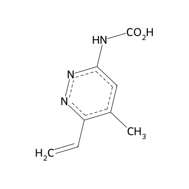 C=Cc1nnc(NC(=O)O)cc1C